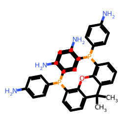 CC1(C)c2cccc(P(c3ccc(N)cc3)c3ccc(N)cc3)c2Oc2c(P(c3ccc(N)cc3)c3ccc(N)cc3)cccc21